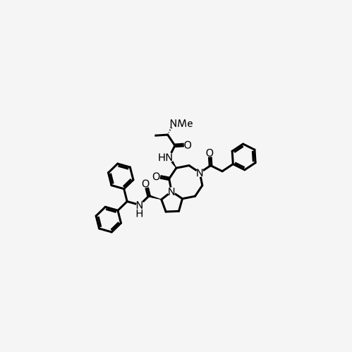 CN[C@@H](C)C(=O)N[C@H]1CN(C(=O)Cc2ccccc2)CCC2CC[C@@H](C(=O)NC(c3ccccc3)c3ccccc3)N2C1=O